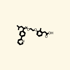 Cc1c(CC(=O)O)cccc1OCCON=C(CC(C)C)c1ccc(-c2ccccn2)cc1